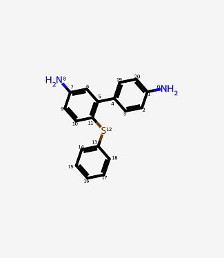 Nc1ccc(-c2cc(N)ccc2Sc2ccccc2)cc1